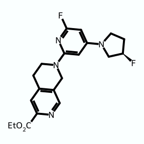 CCOC(=O)c1cc2c(cn1)CN(c1cc(N3CC[C@@H](F)C3)cc(F)n1)CC2